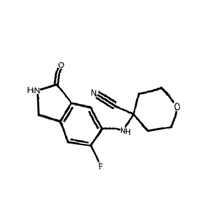 N#CC1(Nc2cc3c(cc2F)CNC3=O)CCOCC1